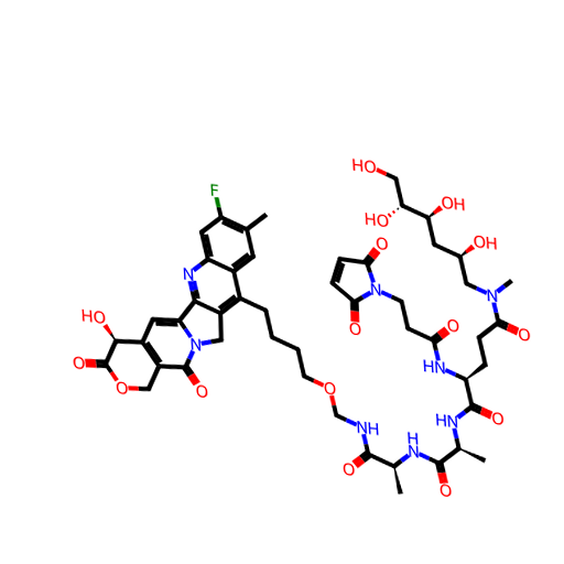 Cc1cc2c(CCCCOCNC(=O)[C@H](C)NC(=O)[C@H](C)NC(=O)[C@H](CCC(=O)N(C)C[C@H](O)C[C@H](O)[C@H](O)CO)NC(=O)CCN3C(=O)C=CC3=O)c3c(nc2cc1F)-c1cc2c(c(=O)n1C3)COC(=O)[C@H]2O